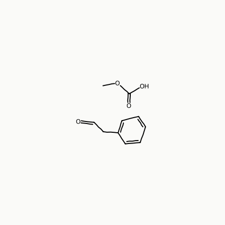 COC(=O)O.O=CCc1ccccc1